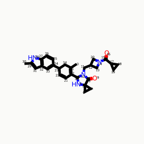 CC1=C(C2NC3(CC3)C(=O)N2CC2CN(C(=O)C3CC3)C2)C=CC(c2ccc3[nH]c(C)cc3c2)C1